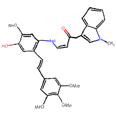 COc1cc(N/C=C\C(=O)c2cn(C)c3ccccc23)c(/C=C/c2cc(OC)c(OC)c(OC)c2)cc1O